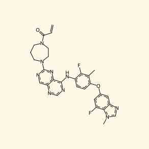 C=CC(=O)N1CCCN(c2ncc3ncnc(Nc4ccc(Oc5cc(F)c6c(c5)ncn6C)c(C)c4F)c3n2)CC1